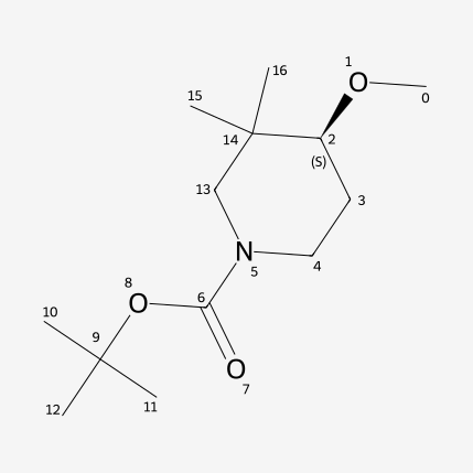 CO[C@H]1CCN(C(=O)OC(C)(C)C)CC1(C)C